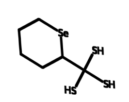 SC(S)(S)C1CCCC[Se]1